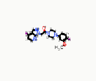 COc1cc(N2CCN(C(=O)Cn3ncc4c(I)ccnc43)CC2)ccc1I